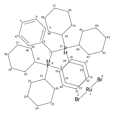 [Br][Ru][Br].c1ccc(C([PH](C2CCCCC2)(C2CCCCC2)C2CCCCC2)[PH](C2CCCCC2)(C2CCCCC2)C2CCCCC2)cc1